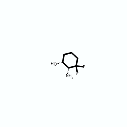 N[C@@H]1[C@H](O)CCCC1(F)F